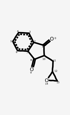 O=C1c2ccccc2C(=O)C1CC1CO1